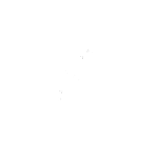 CCCCN1CC2C3CCC(C4CN(CC)CC34)C2C1